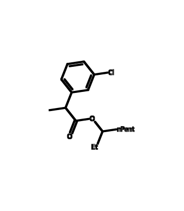 CCCCCC(CC)OC(=O)C(C)c1cccc(Cl)c1